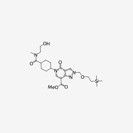 COC(=O)c1cn(C2CCC(C(=O)N(C)CCO)CC2)c(=O)c2cn(COCC[Si](C)(C)C)nc12